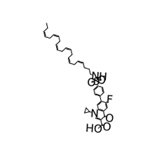 CC/C=C\C/C=C\C/C=C\C/C=C\C/C=C\C/C=C\CCCNS(=O)(=O)c1ccc(-c2cc3c(cc2F)c(=O)c(C(=O)O)cn3C2CC2)cc1